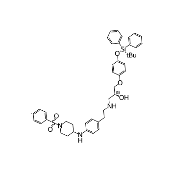 CC(C)(C)[Si](Oc1ccc(OC[C@@H](O)CNCCc2ccc(NC3CCN(S(=O)(=O)c4cc[c]cc4)CC3)cc2)cc1)(c1ccccc1)c1ccccc1